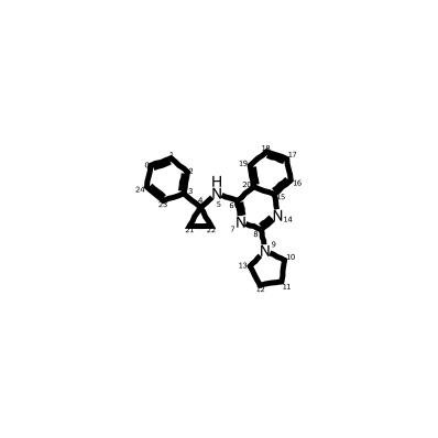 c1ccc(C2(Nc3nc(N4CCCC4)nc4ccccc34)CC2)cc1